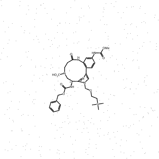 COC(=O)Nc1ccc2c(c1)NC(=O)CCN(C(=O)O)C[C@H](NC(=O)OCc1ccccc1)c1nc-2cn1COCC[Si](C)(C)C